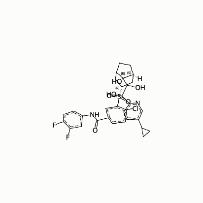 O=C(Nc1ccc(F)c(F)c1)c1ccc(Cl)c(S(=O)(=O)[C@@H]2CC3CC[C@@H](C2)[C@@]3(O)C(O)C(O)c2ccc(C3CC3)cn2)c1